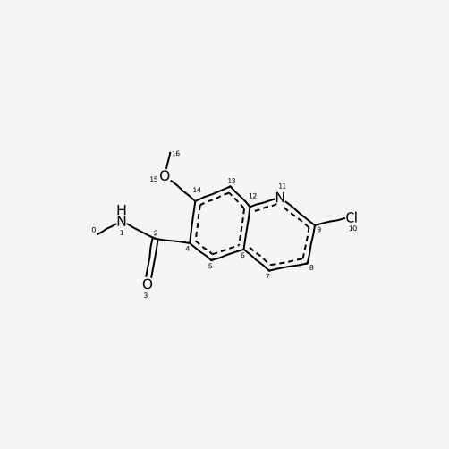 CNC(=O)c1cc2ccc(Cl)nc2cc1OC